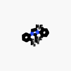 Cc1ccccc1N1C=CN(c2c(C)cccc2C)[C@H]1C